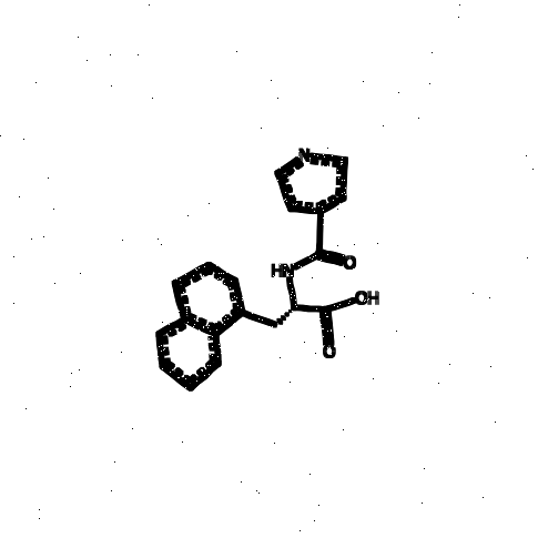 O=C(N[C@@H](Cc1cccc2ccccc12)C(=O)O)c1ccncc1